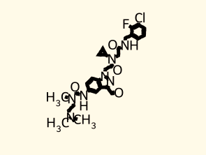 CN(C)CCN(C)C(=O)Nc1ccc2c(c1)c(C=O)nn2CC(=O)N(CC(=O)NCc1cccc(Cl)c1F)C1CC1